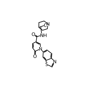 O=C(NC1CN2CCC1CC2)c1ccc(=O)n(-c2ccc3ncsc3c2)c1